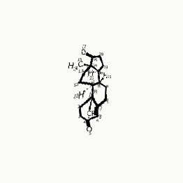 C[C@]12[CH]CC(=O)C=C1CC[C@@H]1[C@@H]2CC[C@]2(C)C(=O)CC[C@@H]12